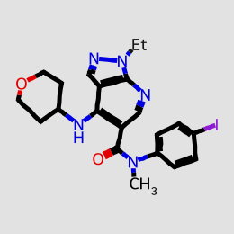 CCn1ncc2c(NC3CCOCC3)c(C(=O)N(C)c3ccc(I)cc3)cnc21